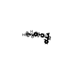 Cc1ccccc1-c1noc(C2CC2)c1COC1CCN(c2nc3ccc(C(=O)NCCS(=O)(=O)O)cc3s2)CC1